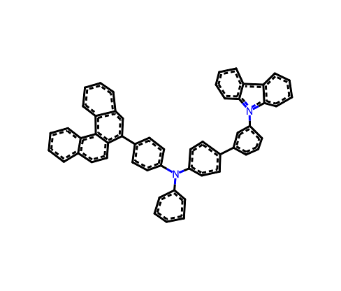 c1ccc(N(c2ccc(-c3cccc(-n4c5ccccc5c5ccccc54)c3)cc2)c2ccc(-c3cc4ccccc4c4c3ccc3ccccc34)cc2)cc1